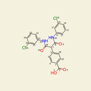 O=C(O)c1ccc(C(C(=O)Nc2cccc(Cl)c2)C(=O)Nc2cccc(Cl)c2)cc1